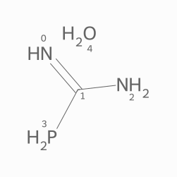 N=C(N)P.O